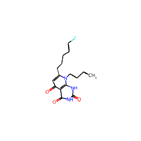 CCCCn1c(CCCCCF)cc(=O)c2c(=O)[nH]c(=O)[nH]c21